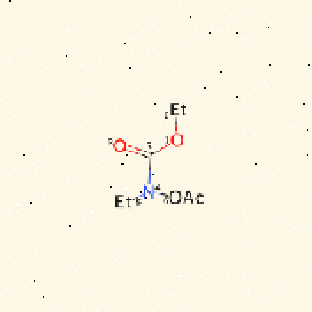 CCOC(=O)N(CC)OC(C)=O